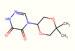 CC1(C)COC(n2[c]n[nH]c(=O)c2=O)CO1